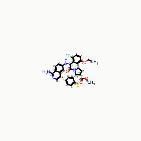 CCOc1ccc(F)c([C@H](Nc2ccc3c(N)nccc3c2)C(=O)N2CC[C@H](C(=O)OC)[C@@H]2c2ccccc2S)c1